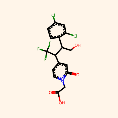 O=C(O)Cn1ccc(C(C(CO)c2ccc(Cl)cc2Cl)C(F)(F)F)cc1=O